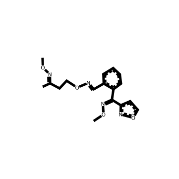 CON=C(C)CCON=Cc1ccccc1C(=NOC)c1ccon1